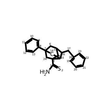 NC(=S)C12CC3CC(c4ccccc4)(CC1C3Cc1ccccc1)C2